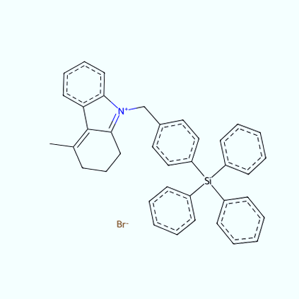 CC1=C2C(=[N+](Cc3ccc([Si](c4ccccc4)(c4ccccc4)c4ccccc4)cc3)c3ccccc32)CCC1.[Br-]